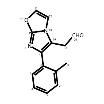 Cc1ccccc1-c1nc2occn2c1CC=O